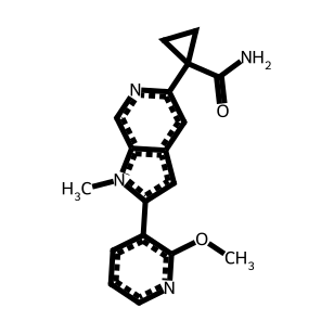 COc1ncccc1-c1cc2cc(C3(C(N)=O)CC3)ncc2n1C